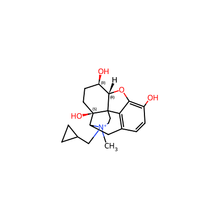 C[N+]1(CC2CC2)CCC23c4c5ccc(O)c4O[C@H]2[C@H](O)CC[C@@]3(O)C1C5